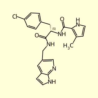 Cc1cc[nH]c1C(=O)N[C@@H](Cc1ccc(Cl)cc1)C(=O)NCc1cnc2[nH]ccc2c1